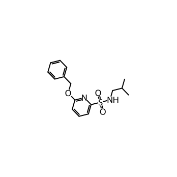 CC(C)CNS(=O)(=O)c1cccc(OCc2ccccc2)n1